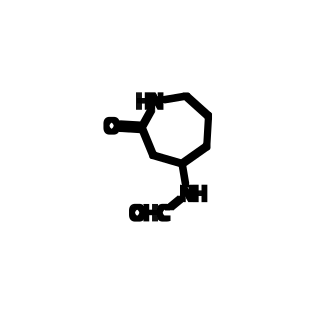 O=CNC1CCCNC(=O)C1